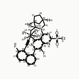 CCS(=O)(=O)c1nc2c3c(nc(-c4cccc5ccc(F)c(C#C[Si](C(C)C)(C(C)C)C(C)C)c45)c(F)c3n1)[C@@H](F)C[C@@H]1[C@@H]3CC[C@@H](C3)CN21